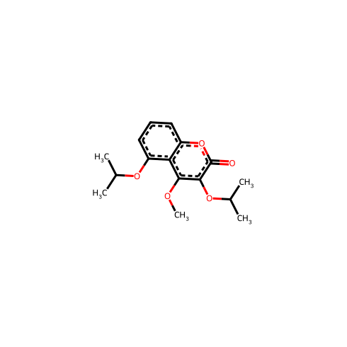 COc1c(OC(C)C)c(=O)oc2cccc(OC(C)C)c12